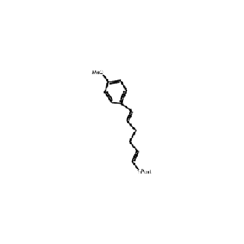 CCCCCC=CCCC=Cc1ccc(OC)cc1